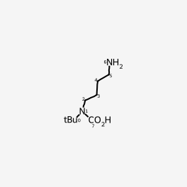 CC(C)(C)N(CCCCN)C(=O)O